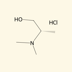 C[C@@H](CO)N(C)C.Cl